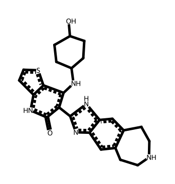 O=c1[nH]c2ccsc2c(NC2CCC(O)CC2)c1-c1nc2cc3c(cc2[nH]1)CCNCC3